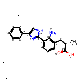 C[C@@H](Cc1cccc(-c2nc(-c3ccccc3)c[nH]2)c1N)C(=O)O